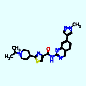 CC(C)N1CCC(c2nc(C(=O)Nc3ncc4ccc(-c5cnn(C)c5)cc4n3)cs2)CC1